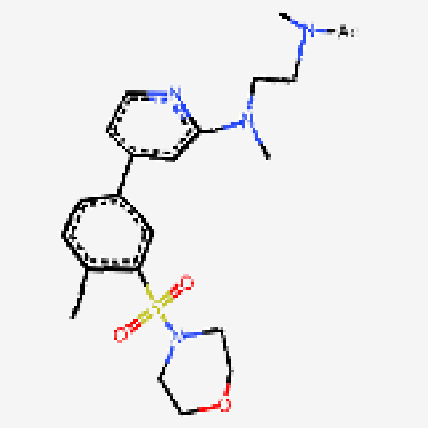 CC(=O)N(C)CCN(C)c1cc(-c2ccc(C)c(S(=O)(=O)N3CCOCC3)c2)ccn1